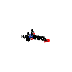 CC1CN(C(=O)Nc2ccccc2C(C)C)c2ccc(-c3ccc([C@H]4CC[C@H](CC(=O)O)CC4)cc3)cc2O1